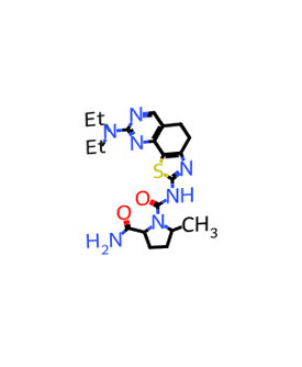 CCN(CC)c1ncc2c(n1)-c1sc(NC(=O)N3C(C)CCC3C(N)=O)nc1CC2